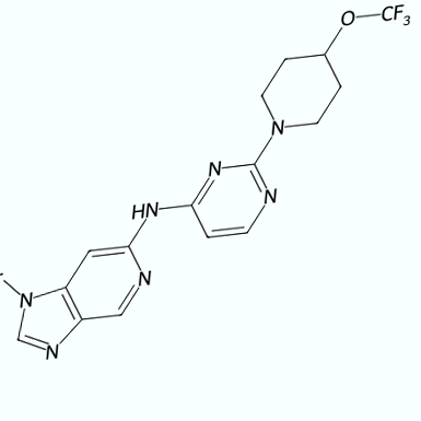 CC(C)n1cnc2cnc(Nc3ccnc(N4CCC(OC(F)(F)F)CC4)n3)cc21